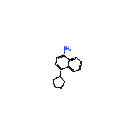 Nc1ccc(C2CCCC2)c2ccccc12